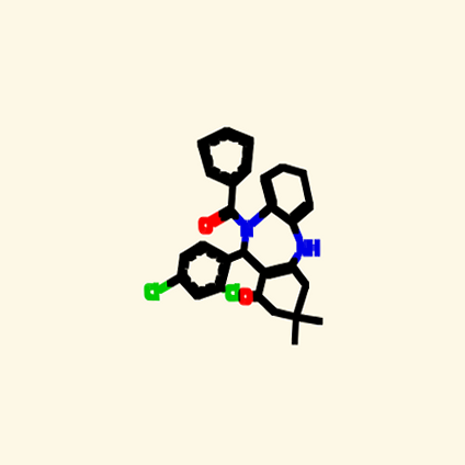 CC1(C)CC(=O)C2=C(C1)NC1=CCCC=C1N(C(=O)c1ccccc1)C2c1ccc(Cl)cc1Cl